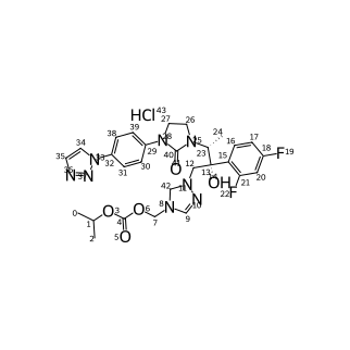 CC(C)OC(=O)OCN1C=NN(C[C@](O)(c2ccc(F)cc2F)[C@@H](C)N2CCN(c3ccc(-n4ccnn4)cc3)C2=O)C1.Cl